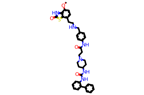 COc1ccc(CCNCc2ccc(NC(=O)CCN3CCC(NC(=O)Nc4ccccc4-c4ccccc4)CC3)cc2)c2sc(=O)[nH]c12